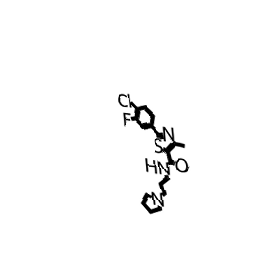 Cc1nc(-c2ccc(Cl)c(F)c2)sc1C(=O)NCCCN1CCCC1